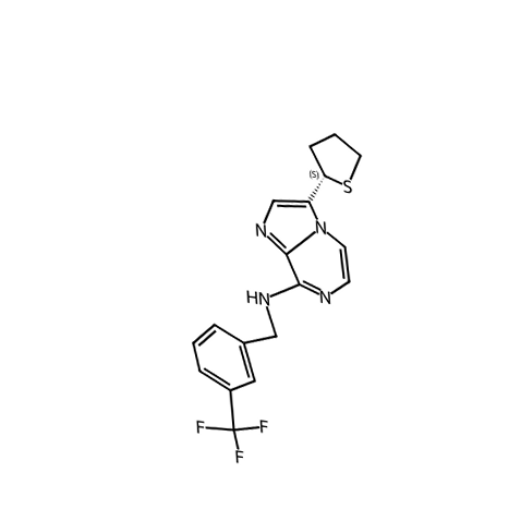 FC(F)(F)c1cccc(CNc2nccn3c([C@@H]4CCCS4)cnc23)c1